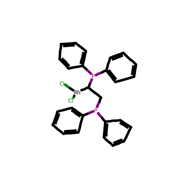 [Cl][Rh]([Cl])[CH](CP(c1ccccc1)c1ccccc1)P(c1ccccc1)c1ccccc1